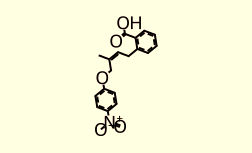 CC(=CCc1ccccc1C(=O)O)COc1ccc([N+](=O)[O-])cc1